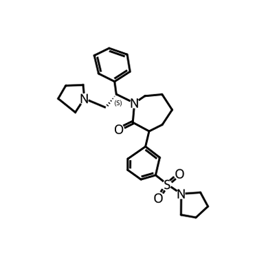 O=C1C(c2cccc(S(=O)(=O)N3CCCC3)c2)CCCCN1[C@H](CN1CCCC1)c1ccccc1